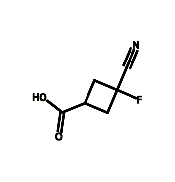 N#CC1(F)CC(C(=O)O)C1